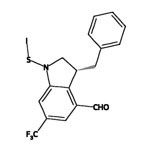 O=Cc1cc(C(F)(F)F)cc2c1[C@@H](Cc1ccccc1)CN2SI